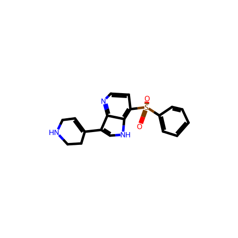 O=S(=O)(c1ccccc1)c1ccnc2c(C3=CCNCC3)c[nH]c12